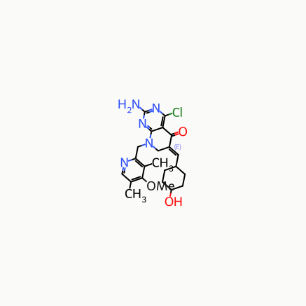 COc1c(C)cnc(CN2C/C(=C\C3CCC(O)CC3)C(=O)c3c(Cl)nc(N)nc32)c1C